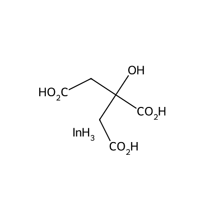 O=C(O)CC(O)(CC(=O)O)C(=O)O.[InH3]